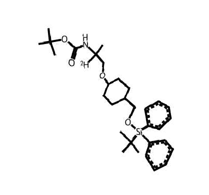 [2H]C(C)(COC1CCC(CO[Si](c2ccccc2)(c2ccccc2)C(C)(C)C)CC1)NC(=O)OC(C)(C)C